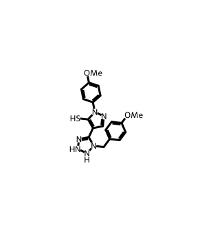 COc1ccc(CN2NNN=C2c2cnn(-c3ccc(OC)cc3)c2S)cc1